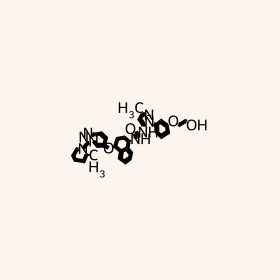 Cc1cc(NC(=O)N[C@H]2CC[C@@H](Oc3ccc4nnc(N5CCCC[C@@H]5C)n4c3)c3ccccc32)n(-c2cccc(OCCO)c2)n1